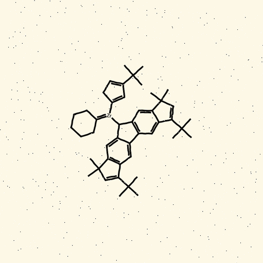 CC(C)(C)C1=CC[C]([Zr](=[C]2CCCCC2)[CH]2c3cc4c(cc3-c3cc5c(cc32)C(C)(C)C=C5C(C)(C)C)C(C(C)(C)C)=CC4(C)C)=C1